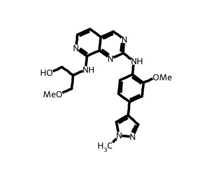 COCC(CO)Nc1nccc2cnc(Nc3ccc(-c4cnn(C)c4)cc3OC)nc12